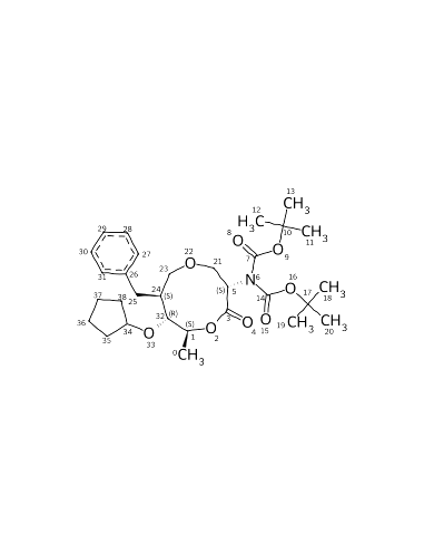 C[C@@H]1OC(=O)[C@@H](N(C(=O)OC(C)(C)C)C(=O)OC(C)(C)C)COC[C@H](Cc2ccccc2)[C@H]1OC1CCCC1